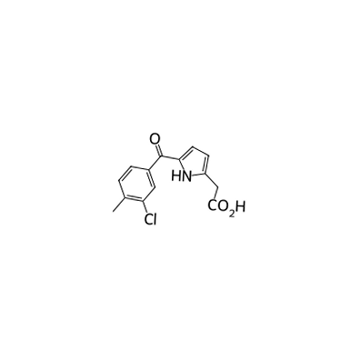 Cc1ccc(C(=O)c2ccc(CC(=O)O)[nH]2)cc1Cl